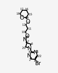 Brc1cnc(N2CC(=NOCCCOC3CCCCO3)C2)nc1